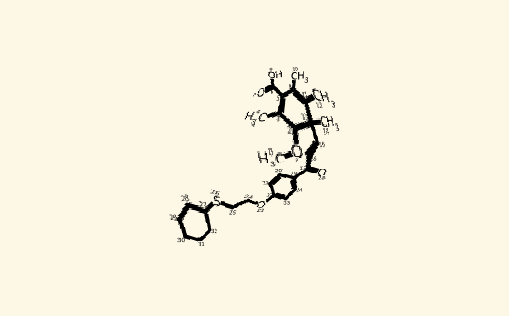 COC1C(C)=C(C(=O)O)C(C)=C(C)C1(C)C=CC(=O)c1ccc(OCCSC2CCCCC2)cc1